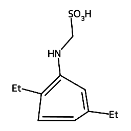 CCc1ccc(CC)c(NCS(=O)(=O)O)c1